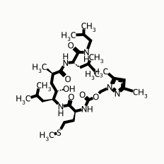 CSCC[C@H](NC(=O)OCn1nc(C)cc1C)C(=O)N[C@@H](CC(C)C)[C@@H](O)C[C@@H](C)C(=O)N[C@@H](CC(C)C)C(=O)NCC(C)C